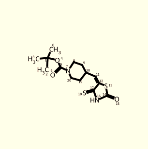 CC(C)(C)OC(=O)N1CCC(C=C2SC(=O)NC2=S)CC1